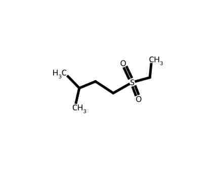 CCS(=O)(=O)CCC(C)C